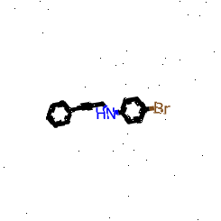 Brc1ccc(NCC#Cc2ccccc2)cc1